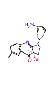 Cc1ccc2c(c1)C(=O)[C@]1(O)CCN(c3cccc(N)c3)C1=N2